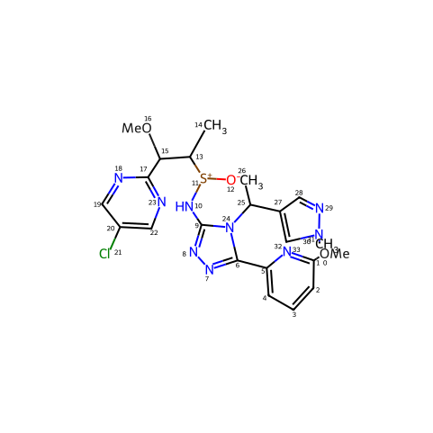 COc1cccc(-c2nnc(N[S+]([O-])C(C)C(OC)c3ncc(Cl)cn3)n2C(C)c2cnn(C)c2)n1